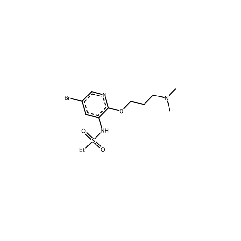 CCS(=O)(=O)Nc1cc(Br)cnc1OCCCN(C)C